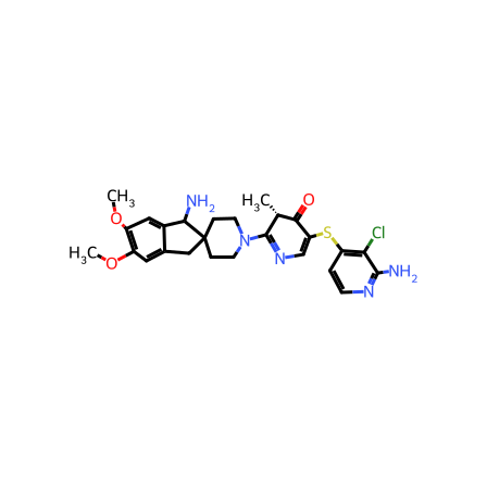 COc1cc2c(cc1OC)C(N)C1(CCN(C3=NC=C(Sc4ccnc(N)c4Cl)C(=O)[C@H]3C)CC1)C2